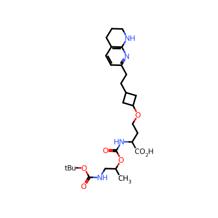 CC(CNC(=O)OC(C)(C)C)OC(=O)NC(CCOC1CC(CCc2ccc3c(n2)NCCC3)C1)C(=O)O